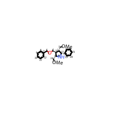 COC[C@H]1[C@H](COCc2ccccc2)[C@@H](COC)N[C@H]1c1ccccc1